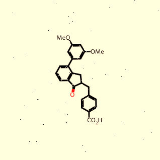 COc1cc(OC)cc(-c2cccc3c2CC(Cc2ccc(C(=O)O)cc2)C3=O)c1